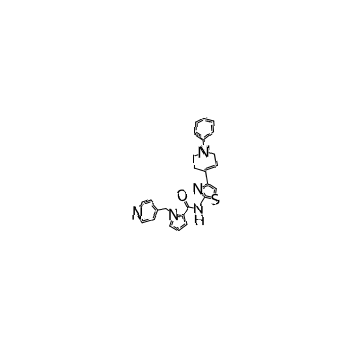 O=C(Nc1nc(C2=CCN(c3ccccc3)CC2)cs1)c1cccn1Cc1ccncc1